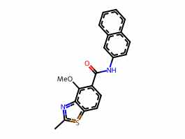 COc1c(C(=O)Nc2ccc3ccccc3c2)ccc2sc(C)nc12